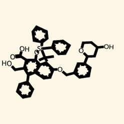 CC(C)(C)[Si](Oc1c(C(=O)O)c(CO)c(-c2ccccc2)c2ccc(OCc3cccc(C4CC(O)CCO4)c3)cc12)(c1ccccc1)c1ccccc1